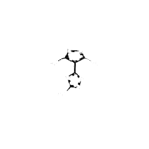 Cc1noc(-c2c(C)noc2C)n1